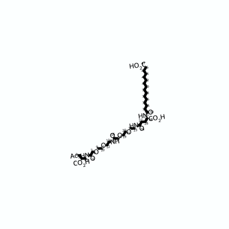 CC(=O)CC[C@H](NC(=O)COCCOCCNC(=O)COCCOCCNC(=O)CC[C@H](NC(=O)CCCCCCCCCCCCCCC(=O)O)C(=O)O)C(=O)O